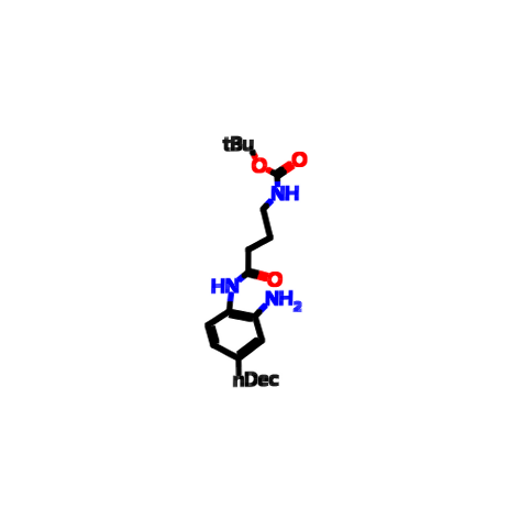 CCCCCCCCCCc1ccc(NC(=O)CCCNC(=O)OC(C)(C)C)c(N)c1